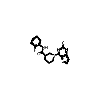 O=C(Nc1ccccc1F)C1CCCN(c2nc(Cl)nc3ccsc23)C1